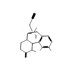 C#CC[N+]1(O)CC[C@]23c4c5ccc(O)c4O[C@H]2C(=O)CC[C@@]3(O)[C@H]1C5